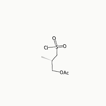 CC(=O)OC[C@H](C)CS(=O)(=O)Cl